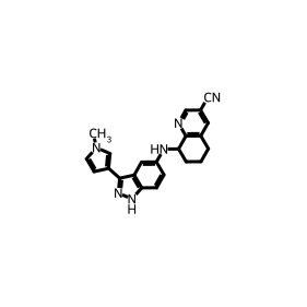 Cn1ccc(-c2n[nH]c3ccc(NC4CCCc5cc(C#N)cnc54)cc23)c1